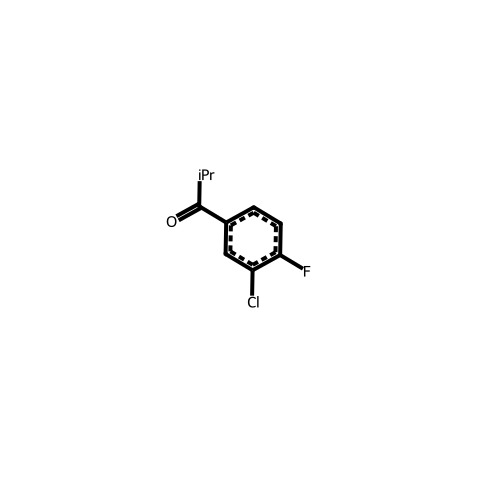 CC(C)C(=O)c1ccc(F)c(Cl)c1